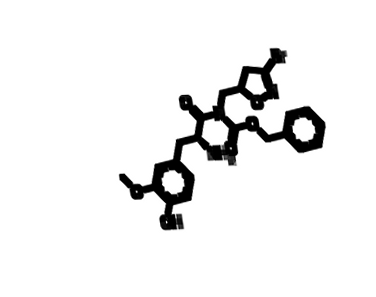 COc1cc(C[C@H](N)C(=O)N(CC2CC(Br)=NO2)C(=O)OCc2ccccc2)ccc1O